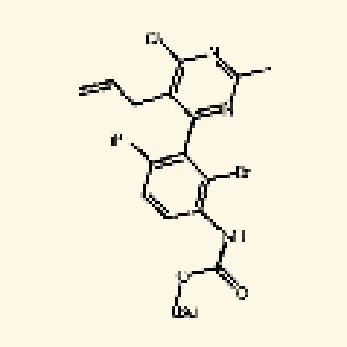 C=CCc1c(Cl)nc(C)nc1-c1c(C(C)C)ccc(NC(=O)OC(C)(C)C)c1Br